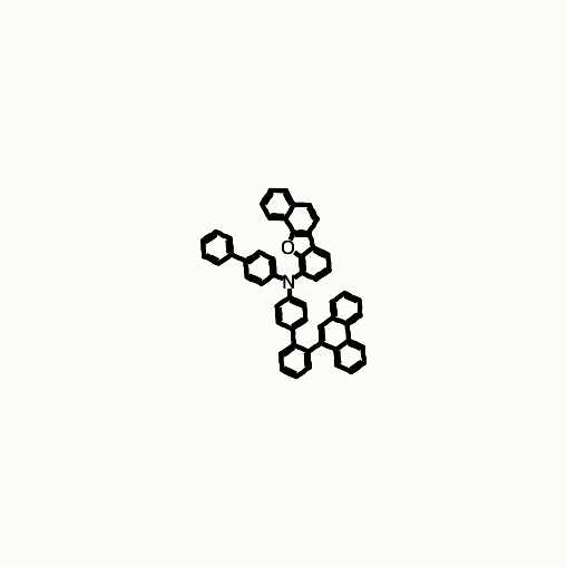 c1ccc(-c2ccc(N(c3ccc(-c4ccccc4-c4cc5ccccc5c5ccccc45)cc3)c3cccc4c3oc3c5ccccc5ccc43)cc2)cc1